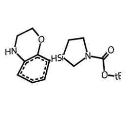 CC(C)(C)OC(=O)N1CC[Si@@H](c2cccc3c2OCCN3)C1